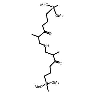 CO[Si](C)(CCCC(=O)C(C)CNCC(C)C(=O)CCC[Si](C)(OC)OC)OC